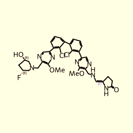 COc1nc(-c2cccc(-c3cccc(-c4cnc(CN5C[C@H](O)C[C@@H](F)C5)c(OC)n4)c3Cl)c2Cl)cnc1CN/C=C1\CCC(=O)N1